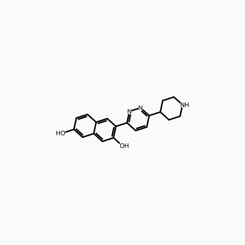 Oc1ccc2cc(-c3ccc(C4CCNCC4)nn3)c(O)cc2c1